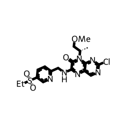 CCS(=O)(=O)c1ccc(CNc2nc3cnc(Cl)nc3n([C@@H](C)COC)c2=O)nc1